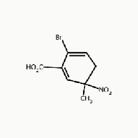 CC1([N+](=O)[O-])C=C(C(=O)O)C(Br)=CC1